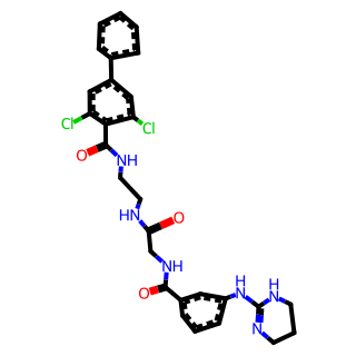 O=C(CNC(=O)c1cccc(NC2=NCCCN2)c1)NCCNC(=O)c1c(Cl)cc(-c2ccccc2)cc1Cl